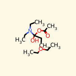 CCN(CC)C(O)(CC)OC(C)=O.CCOCC